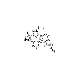 CCn1cc(-c2c(C#N)cccc2-c2cncc3sc(C#N)cc23)c(C(F)(F)F)n1